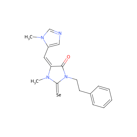 CN1C(=[Se])N(CCc2ccccc2)C(=O)C1=Cc1cncn1C